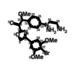 COc1cc(-c2coc(C(=O)C(OC)c3ccc(N(N)/C=C\N)cc3)n2)cc(OC)c1Br